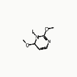 COC1=NC=CC(OC)N1I